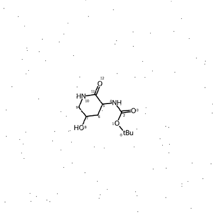 CC(C)(C)OC(=O)NC1CC(O)CNC1=O